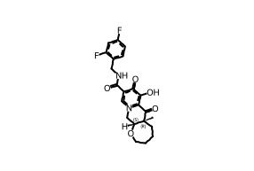 C[C@@]12CCCCO[C@@H]1Cn1cc(C(=O)NCc3ccc(F)cc3F)c(=O)c(O)c1C2=O